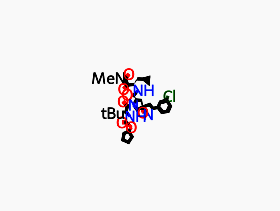 CNC(=O)C(=O)[C@H](CC1CC1)NC(=O)[C@@H]1C[C@]2(CC(c3cccc(Cl)c3)=NO2)CN1C(=O)[C@@H](NC(=O)OC1CCCC1)C(C)(C)C